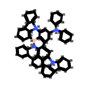 c1ccc(-c2ccccc2N2B3c4c(cc(N(c5ccccc5)c5ccccc5)cc4-n4c5ccccc5c5cccc3c54)-c3cc4c(cc32)c2cccc3c5ccccc5n4c32)cc1